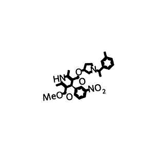 COC(=O)C1=C(C)NC(C)=C(C(=O)OC2CCN(C(C)c3cccc(C)c3)C2)[C@H]1c1cccc([N+](=O)[O-])c1